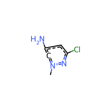 C[n+]1cc(N)cc(Cl)n1